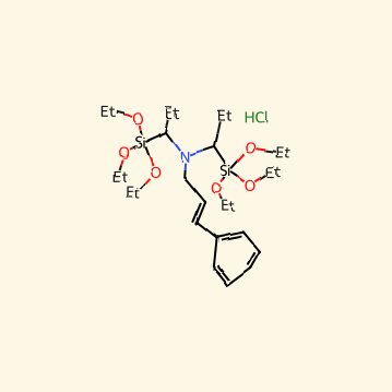 CCO[Si](OCC)(OCC)C(CC)N(C/C=C/c1ccccc1)C(CC)[Si](OCC)(OCC)OCC.Cl